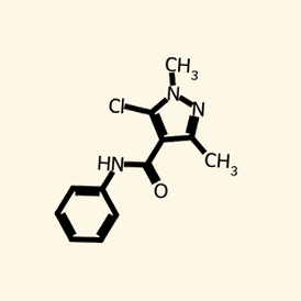 Cc1nn(C)c(Cl)c1C(=O)Nc1ccccc1